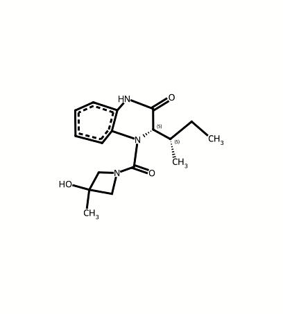 CC[C@H](C)[C@H]1C(=O)Nc2ccccc2N1C(=O)N1CC(C)(O)C1